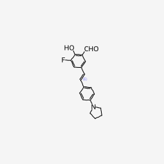 O=Cc1cc(/C=C/c2ccc(N3CCCC3)cc2)cc(F)c1O